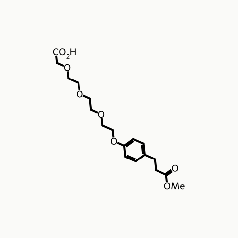 COC(=O)CCc1ccc(OCCOCCOCCOCC(=O)O)cc1